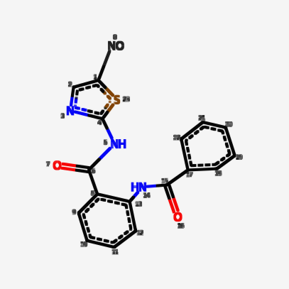 O=Nc1cnc(NC(=O)c2ccccc2NC(=O)c2ccccc2)s1